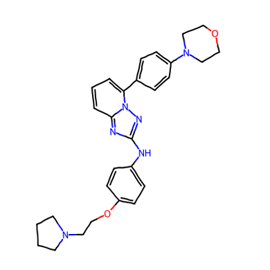 c1cc(-c2ccc(N3CCOCC3)cc2)n2nc(Nc3ccc(OCCN4CCCC4)cc3)nc2c1